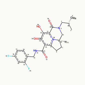 CO[C@H](C)CN1C[C@H]2CCc3c(C(=O)NCc4ccc(F)cc4F)c(=O)c(O)c(n32)C1=O